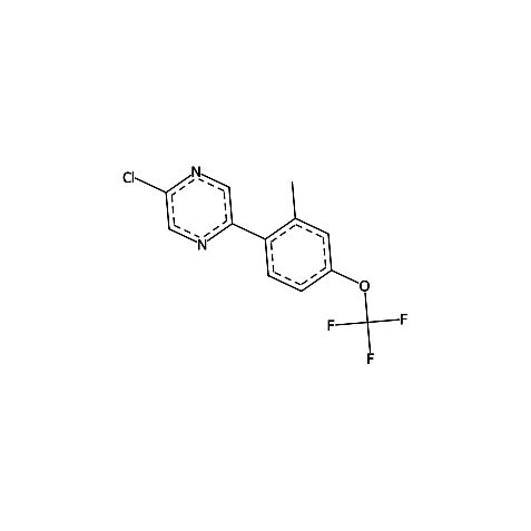 Cc1cc(OC(F)(F)F)ccc1-c1cnc(Cl)cn1